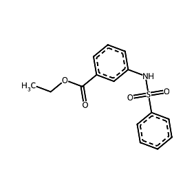 CCOC(=O)c1cccc(NS(=O)(=O)c2ccccc2)c1